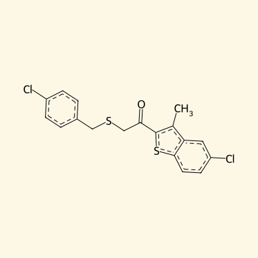 Cc1c(C(=O)CSCc2ccc(Cl)cc2)sc2ccc(Cl)cc12